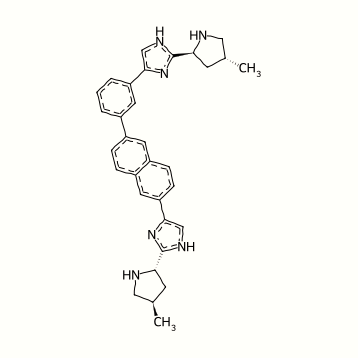 C[C@H]1CN[C@H](c2nc(-c3cccc(-c4ccc5cc(-c6c[nH]c([C@@H]7C[C@@H](C)CN7)n6)ccc5c4)c3)c[nH]2)C1